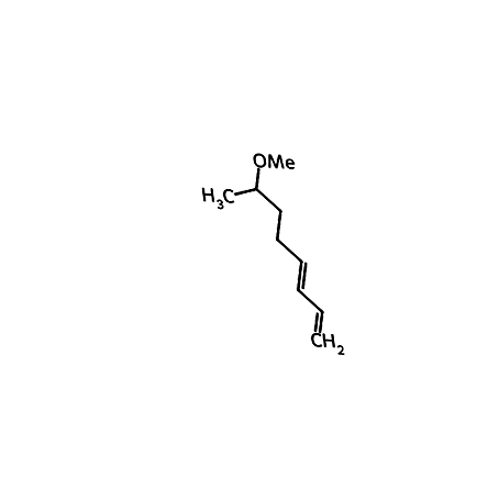 C=CC=CCCC(C)OC